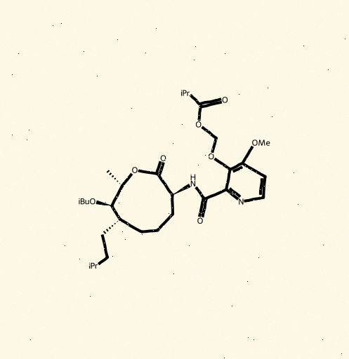 COc1ccnc(C(=O)N[C@H]2CCC[C@H](CCC(C)C)[C@@H](OCC(C)C)[C@H](C)OC2=O)c1OCOC(=O)C(C)C